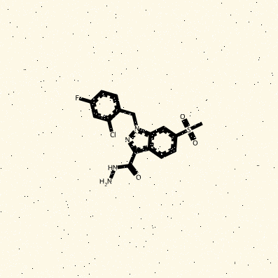 CS(=O)(=O)c1ccc2c(C(=O)NN)nn(Cc3ccc(F)cc3Cl)c2c1